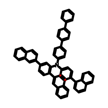 c1ccc(-c2ccc(-c3ccc(N(c4ccc(-c5cccc6ccccc56)cc4)c4cc(-c5ccc6ccccc6c5)ccc4-c4ccc5ccccc5c4)cc3)cc2)cc1